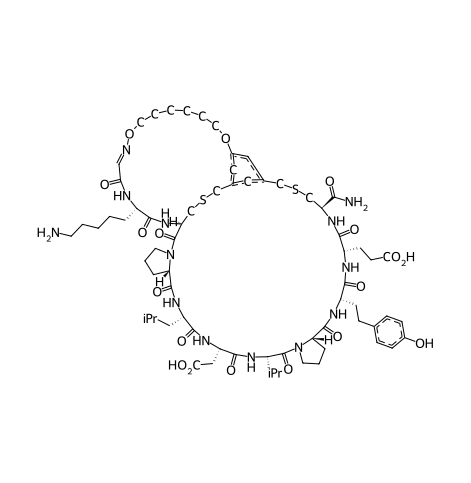 CC(C)C[C@@H]1NC(=O)[C@@H]2CCCN2C(=O)[C@@H]2CSCc3cc(cc(c3)OCCCCCCO/N=C/C(=O)N[C@@H](CCCCCN)C(=O)N2)CSC[C@@H](C(N)=O)NC(=O)[C@H](CCC(=O)O)NC(=O)[C@H](CCc2ccc(O)cc2)NC(=O)[C@@H]2CCCN2C(=O)[C@H](C(C)C)NC(=O)[C@H](CC(=O)O)NC1=O